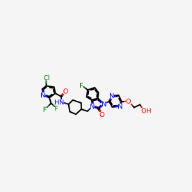 O=C(NC1CCC(Cn2c(=O)n(-c3cnc(OCCO)cn3)c3ccc(F)cc32)CC1)c1cc(Cl)cnc1C(F)F